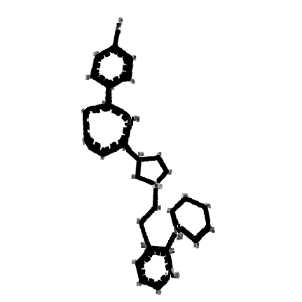 Fc1ccc(-c2cccc(C3CCN(CCc4cccnc4N4CCCCC4)C3)n2)cc1